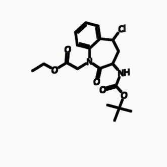 CCOC(=O)CN1C(=O)C(NC(=O)OC(C)(C)C)CC(Cl)c2ccccc21